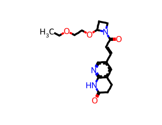 CCOCCOC1CCN1C(=O)/C=C/c1cnc2c(c1)CCC(=O)N2